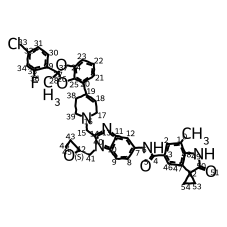 Cc1cc(C(=O)Nc2ccc3c(c2)nc(CN2CC=C(c4cccc5c4OC(C)(c4ccc(Cl)cc4F)O5)CC2)n3C[C@@H]2CCO2)cc2c1NC(=O)C21CC1